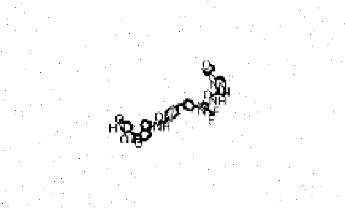 O=C1CCC(c2coc3ccc4c(NC(=O)CN5CCN(CC6CCC(n7cc(NC(=O)c8cnn9ccc(N%10CC%11CC%10CO%11)nc89)c(C(F)F)n7)CC6)CC5)cccc4c23)C(=O)N1